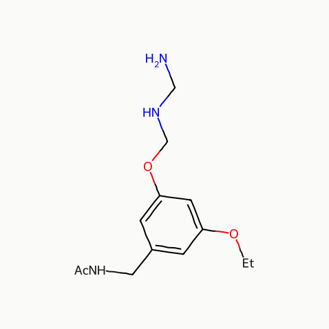 CCOc1cc(CNC(C)=O)cc(OCNCN)c1